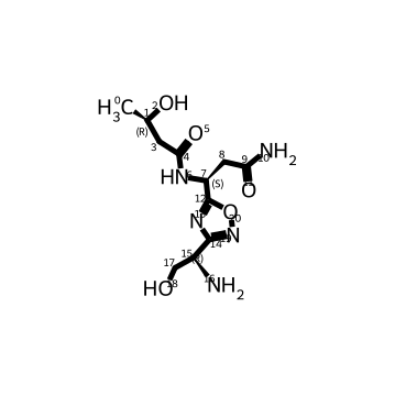 C[C@@H](O)CC(=O)N[C@@H](CC(N)=O)c1nc([C@@H](N)CO)no1